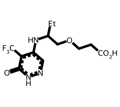 CCC(COCCC(=O)O)Nc1cn[nH]c(=O)c1C(F)(F)F